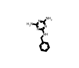 Nc1nc(N)nc(NCc2ccccc2)n1